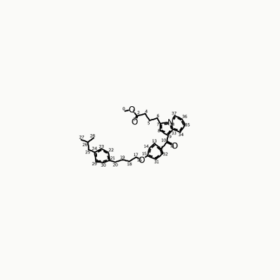 COC(=O)CCCc1cc(C(=O)c2ccc(OCCCCc3ccc(CC(C)C)cc3)cc2)c2ccccn12